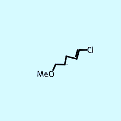 COC[CH]CC=CCl